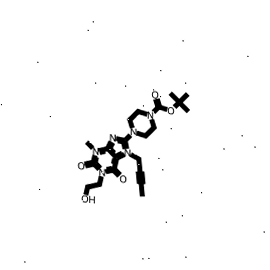 CC#CCn1c(N2CCN(C(=O)OC(C)(C)C)CC2)nc2c1c(=O)n(CCO)c(=O)n2C